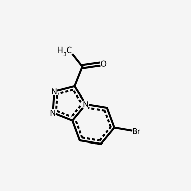 CC(=O)c1nnc2ccc(Br)cn12